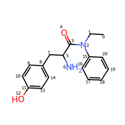 CCN(C(=O)C(N)Cc1ccc(O)cc1)c1ccccc1